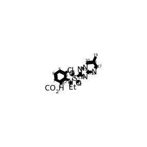 CCN(c1c(Cl)cccc1C(=O)O)S(=O)(=O)c1nc2ncc(C)cn2n1